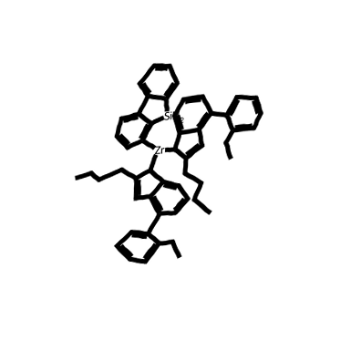 CCCCC1=Cc2c(-c3ccccc3CC)cccc2[CH]1[Zr]([c]1cccc2c1[SiH2]c1ccccc1-2)[CH]1C(CCCC)=Cc2c(-c3ccccc3CC)cccc21